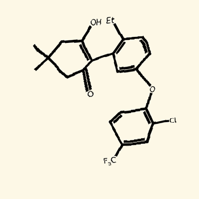 CCc1ccc(Oc2ccc(C(F)(F)F)cc2Cl)cc1C1=C(O)CC(C)(C)CC1=O